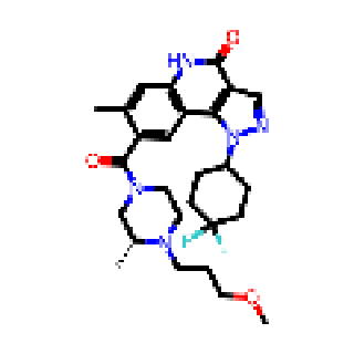 COCCCN1CCN(C(=O)c2cc3c(cc2C)[nH]c(=O)c2cnn(C4CCC(F)(F)CC4)c23)C[C@H]1C